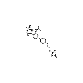 CC(C)Oc1cc(-c2ccc(CCCOC(N)=O)cc2)ccc1C(=O)NS(C)(=O)=O